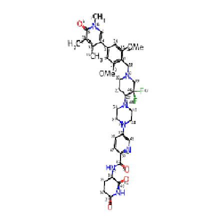 COc1cc(-c2cn(C)c(=O)c(C)c2C)cc(OC)c1CN1CCC(N2CCN(c3ccc(C(=O)NC4CCC(=O)NC4=O)nc3)CC2)C(F)(F)C1